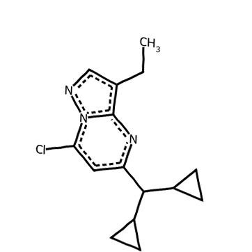 CCc1cnn2c(Cl)cc(C(C3CC3)C3CC3)nc12